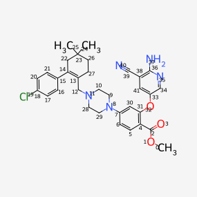 COC(=O)c1ccc(N2CCN(CC3=C(c4ccc(Cl)cc4)CC(C)(C)CC3)CC2)cc1Oc1cnc(N)c(C#N)c1